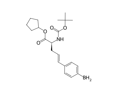 Bc1ccc(/C=C/C[C@H](NC(=O)OC(C)(C)C)C(=O)OC2CCCC2)cc1